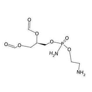 NCCOP(N)(=O)OC[C@@H](COC=O)OC=O